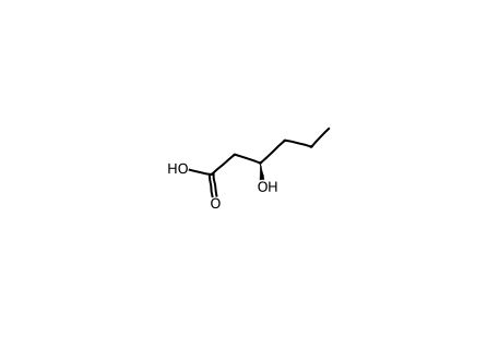 CCC[C@@H](O)CC(=O)O